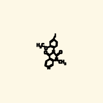 COc1cc(I)ccc1-n1c(=O)c2ccncc2n(C)c1=O